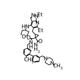 CCc1nc2c(cnn2CC)c(NC2CCOCC2)c1CC1CC1(C(N)=O)C(=O)NCc1ccc(C)c(-c2cccc(CN3CCN(C)CC3)c2)c1